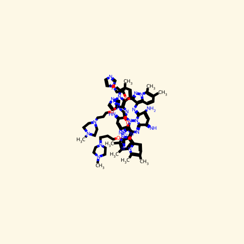 Cc1ccc2c(N=C3C(=N)C=C(N)C(=Nc4c(OCCCN5CCN(C)CC5)nn5c(C)c(C)ccc45)N3N3C(=Nc4c(OCCn5ccnc5)nn5c(C)c(C)ccc45)C(=N)C=C(N)C3=Nc3c(OCCn4ccnc4)nn4c(C)c(C)ccc34)c(OCCCN3CCN(C)CC3)nn2c1C